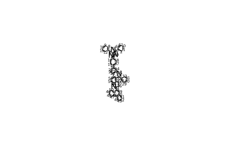 c1ccc(-c2nc(-c3ccccc3)nc(-c3ccc(-c4ccc5c(c4)nc(-c4ccccc4)c4c6ccc(-c7cc8ccccc8c8ccccc78)nc6ccc54)cc3)n2)cc1